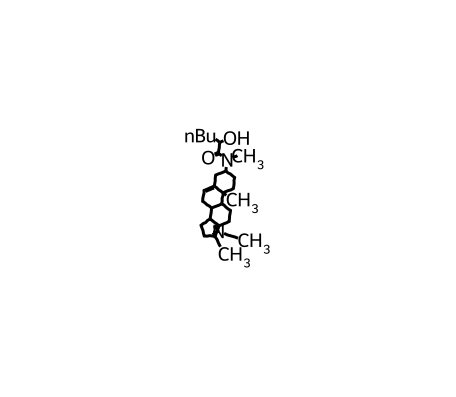 CCCCC(O)C(=O)N(C)C1CCC2(C)C(=CCC3C2CCC24CN(C)C(C)C2CCC34)C1